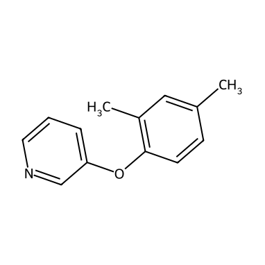 Cc1ccc(Oc2cccnc2)c(C)c1